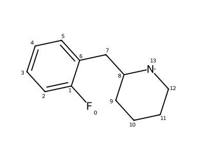 Fc1ccccc1CC1CCCC[N]1